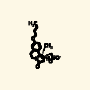 CCCCOc1ccc2c(c1)CCN1C(=O)C[C@H]3[C@H](C[N+](=O)[O-])[C@@H](C)C[C@]231